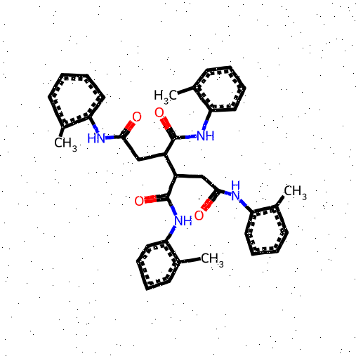 Cc1ccccc1NC(=O)CC(C(=O)Nc1ccccc1C)C(CC(=O)Nc1ccccc1C)C(=O)Nc1ccccc1C